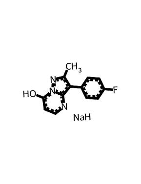 Cc1nn2c(O)ccnc2c1-c1ccc(F)cc1.[NaH]